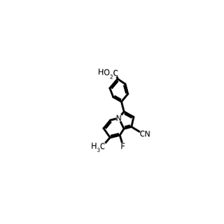 Cc1ccn2c(-c3ccc(C(=O)O)cc3)cc(C#N)c2c1F